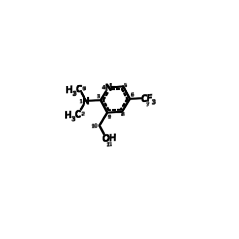 CN(C)c1ncc(C(F)(F)F)cc1CO